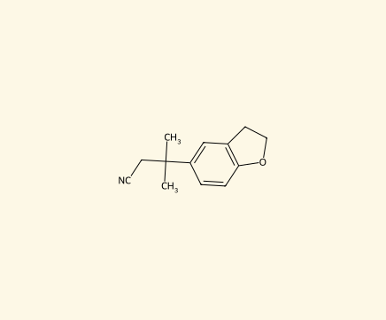 CC(C)(CC#N)c1ccc2c(c1)CCO2